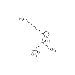 CCCCCCCCCc1ccccc1C[C@](O)(CCCC)SCCC(=O)OC